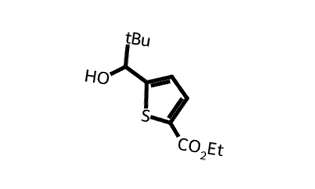 CCOC(=O)c1ccc(C(O)C(C)(C)C)s1